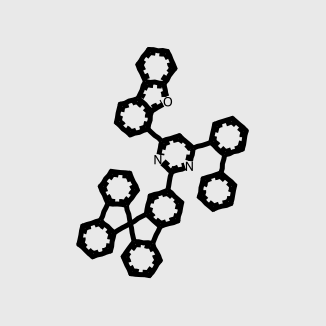 c1ccc(-c2ccccc2-c2cc(-c3cccc4c3oc3ccccc34)nc(-c3ccc4c(c3)C3(c5ccccc5-c5ccccc53)c3ccccc3-4)n2)cc1